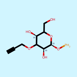 C#CCOC1[C@@H](O)C(CO)O[C@@H](OP)[C@H]1O